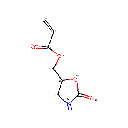 C=CC(=O)OCC1CNC(=O)O1